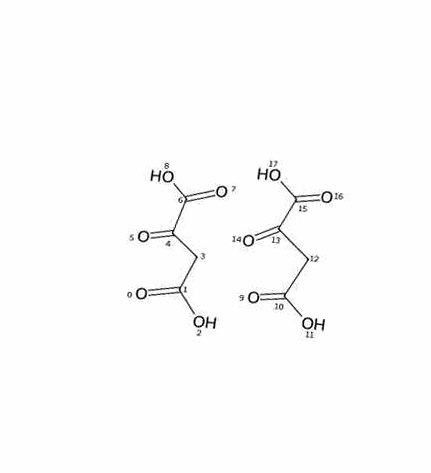 O=C(O)CC(=O)C(=O)O.O=C(O)CC(=O)C(=O)O